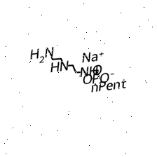 CCCCCP(=O)([O-])ONCCNCCN.[Na+]